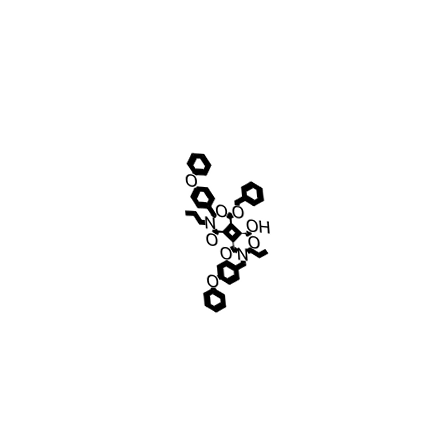 CCCN(Cc1ccc(Oc2ccccc2)cc1)C(=O)[C@H]1[C@@H](C(=O)O)[C@H](C(=O)OCc2ccccc2)[C@@H]1C(=O)N(CCC)Cc1ccc(Oc2ccccc2)cc1